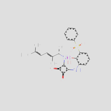 CC[C@@H](Nc1c(Nc2cccc(S(=O)(=O)c3ccccc3)c2O)c(=O)c1=O)/C(C)=C/C=C(C)C